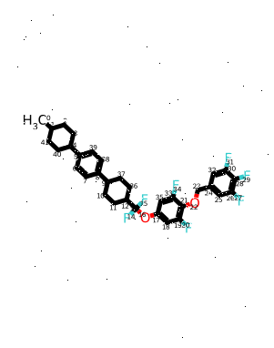 CC1CCC(c2ccc(C3CCC(C(F)(F)Oc4cc(F)c(OCc5cc(F)c(F)c(F)c5)c(F)c4)CC3)cc2)CC1